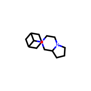 C1CC2CC(C1)C2N1CCN2CCCC2C1